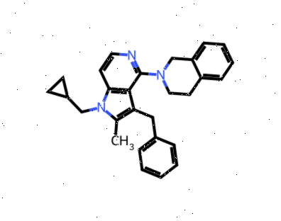 Cc1c(Cc2ccccc2)c2c(N3CCc4ccccc4C3)nccc2n1CC1CC1